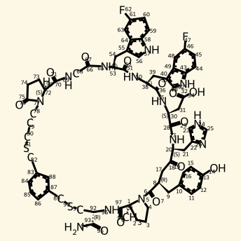 C[C@@]12CCCN1C(=O)[C@H](Cc1ccc(O)cc1)CC(=O)[C@H](Cc1c[nH]cn1)NC(=O)[C@H](CC(=O)O)NC(=O)[C@H](Cc1c[nH]c3ccc(F)cc13)NC(=O)[C@H](Cc1c[nH]c3ccc(F)cc13)NC(=O)CNC(=O)[C@@H]1CCC(=O)N1CCCSCc1cccc(c1)CSC[C@@H](C(N)=O)NC2=O